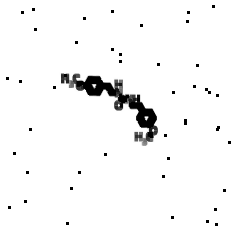 COc1ccc(CCNC(=O)NCCc2ccc(OC)cc2)cc1